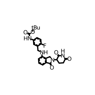 CC(C)(C)OC(=O)Nc1ccc(F)c(CNc2cccc3c2CN(C2CCC(=O)NC2=O)C3=O)c1